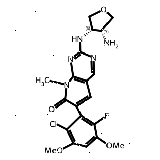 COc1cc(OC)c(Cl)c(-c2cc3cnc(N[C@@H]4COC[C@@H]4N)nc3n(C)c2=O)c1F